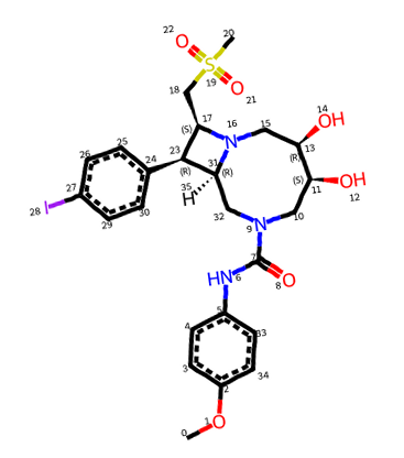 COc1ccc(NC(=O)N2C[C@H](O)[C@H](O)CN3[C@H](CS(C)(=O)=O)[C@H](c4ccc(I)cc4)[C@@H]3C2)cc1